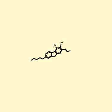 CCCCCc1ccc2c(c1)Cc1cc(CCC)c(F)c(F)c1-2